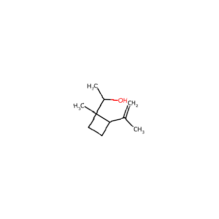 C=C(C)C1CCC1(C)C(C)O